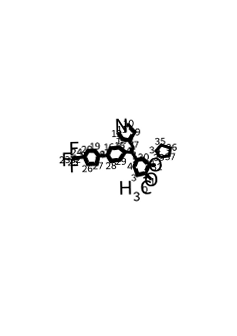 COc1ccc(C(=Cc2ccncc2)c2ccc(-c3ccc(C(F)(F)F)cc3)cc2)cc1OC1CCCC1